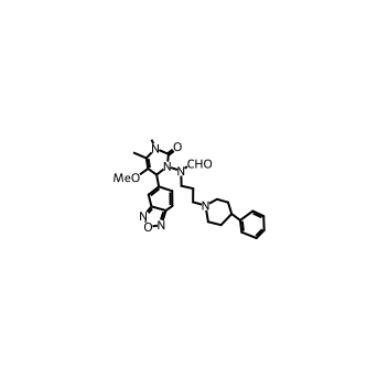 COC1=C(C)N(C)C(=O)N(N(C=O)CCCN2CCC(c3ccccc3)CC2)C1c1ccc2nonc2c1